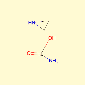 C1CN1.NC(=O)O